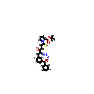 CC(C)(C)OC(=O)[C@@H]1CCCN1C(=S)CCC(=O)[C@@H](N)Cc1cccc(C(=O)c2ccccc2)c1